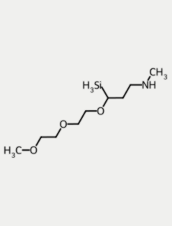 CNCCC([SiH3])OCCOCCOC